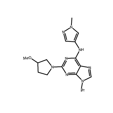 COC1CCN(c2nc(Nc3cnn(C)c3)c3ncn(C(C)C)c3n2)C1